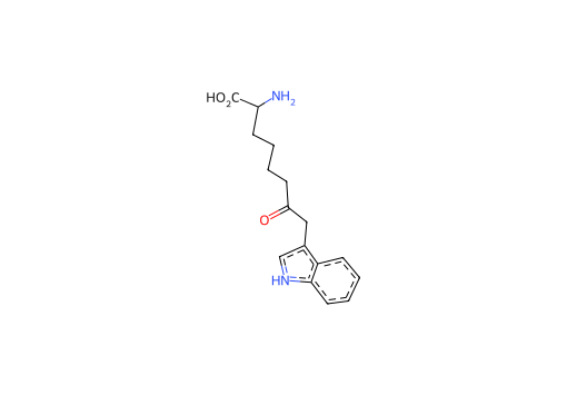 NC(CCCCC(=O)Cc1c[nH]c2ccccc12)C(=O)O